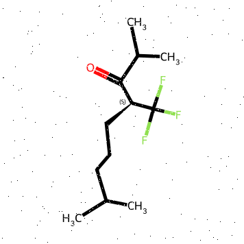 CC(C)CCC[C@@H](C(=O)C(C)C)C(F)(F)F